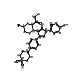 COC(=O)C1CC(F)CCC1c1nn(-c2ccc(F)cn2)cc1-c1ccc(N2CCS(=O)(=O)CC2)cc1